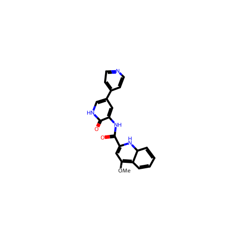 COC1=C2C=CC=CC2NC(C(=O)Nc2cc(-c3ccncc3)c[nH]c2=O)=C1